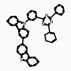 C1=CCCC(c2nc(-c3ccccc3)nc(-c3cccc(-n4c5ccccc5c5cc(-c6ccc7sc8ccccc8c7c6)ccc54)c3)n2)=C1